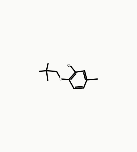 Cc1ccc(OCC(C)(C)C)c(Cl)c1